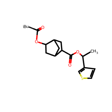 CCC(C)C(=O)OC1CC2CC1CC2C(=O)OC(C)c1ccsc1